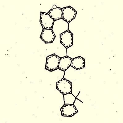 CC1(C)c2ccccc2-c2ccc(-c3c4ccccc4c(-c4ccc(-c5cccc6oc7ccc8ccccc8c7c56)cc4)c4ccccc34)cc21